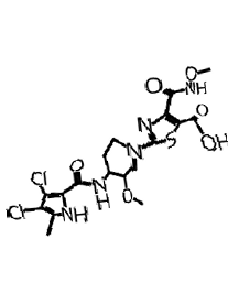 CONC(=O)c1nc(N2CCC(NC(=O)c3[nH]c(C)c(Cl)c3Cl)C(OC)C2)sc1C(=O)O